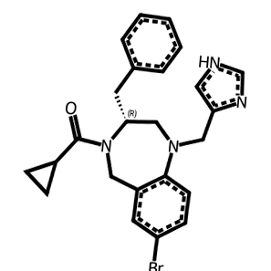 O=C(C1CC1)N1Cc2cc(Br)ccc2N(Cc2c[nH]cn2)C[C@H]1Cc1ccccc1